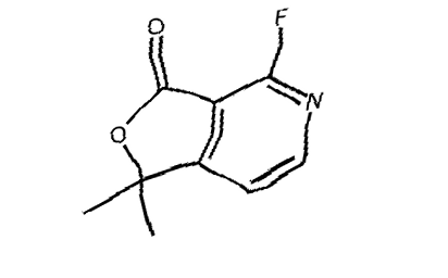 CC1(C)OC(=O)c2c1ccnc2F